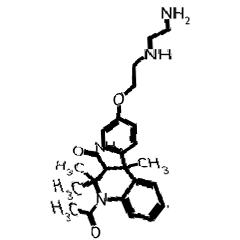 CC(=O)N1c2cc[c]cc2C(C)(c2ccc(OCCNCCN)cc2)C(C(N)=O)C1(C)C